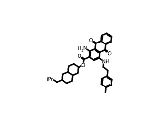 Cc1ccc(CCNc2cc(C(=O)OC3CCC4CC(CC(C)C)CCC4C3)c(N)c3c2C(=O)c2ccccc2C3=O)cc1